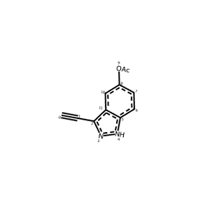 C#Cc1n[nH]c2ccc(OC(C)=O)cc12